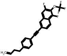 C=CCCc1ccc(C#Cc2ccc3c(F)c(OC(F)(F)F)c(F)cc3c2)cc1